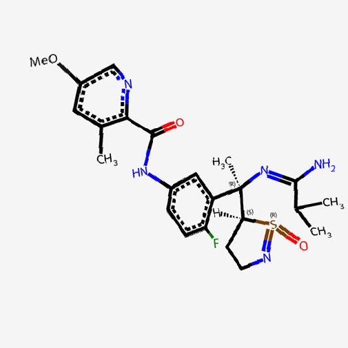 COc1cnc(C(=O)Nc2ccc(F)c([C@@]3(C)N=C(N)C(C)(C)[S@@]4(=O)=NCC[C@@H]34)c2)c(C)c1